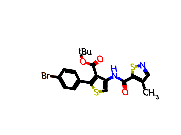 Cc1cnsc1C(=O)Nc1csc(-c2ccc(Br)cc2)c1C(=O)OC(C)(C)C